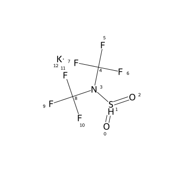 O=[SH](=O)N(C(F)(F)F)C(F)(F)F.[K]